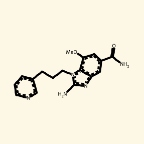 COc1cc(C(N)=O)cc2nc(N)n(CCCc3cccnc3)c12